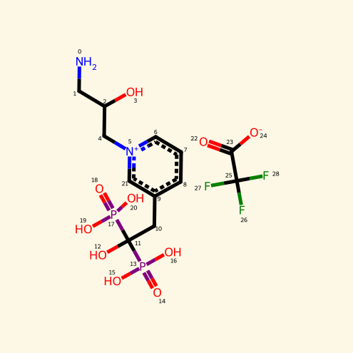 NCC(O)C[n+]1cccc(CC(O)(P(=O)(O)O)P(=O)(O)O)c1.O=C([O-])C(F)(F)F